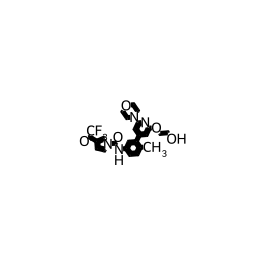 Cc1ccc(NC(=O)n2ccc(C(=O)C(F)(F)F)c2)cc1-c1cc(OCCO)nc(N2CCOCC2)c1